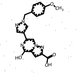 COc1ccc(Cn2cc(-c3cn4nc(C(=O)O)cc4c(O)n3)cn2)cc1